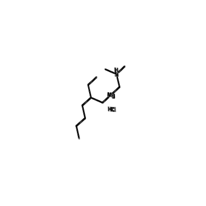 CCCCC(CC)[CH2][Mg][CH2][SiH](C)C.Cl